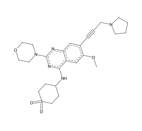 COc1cc2c(NC3CCS(=O)(=O)CC3)nc(N3CCOCC3)nc2cc1C#CCN1CCCC1